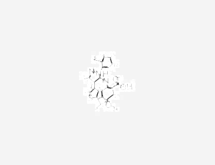 CCc1cc(-c2c(C)nn(-c3ccccc3C)c2Nc2ccc(OC)cc2C(=O)O)cs1